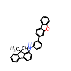 CC1(C)c2ccccc2-c2cccc(Nc3cccc(-c4ccc5c(c4)oc4ccccc45)c3)c21